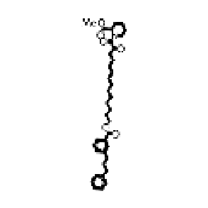 COC(=O)C1CCCCN1C(=O)C(=O)CCCCCCCCCCCCOC(=O)c1cccc(CCCc2ccccc2)c1